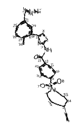 C#CC1CCN(S(=O)(=O)c2ccc(C(=O)Nc3nc(-c4cc(N=[N+]=[N-])ccc4C)cs3)cc2)CC1